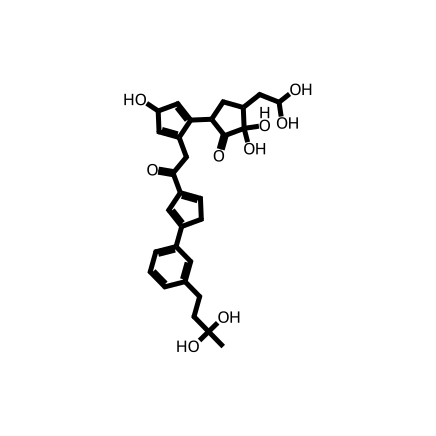 CC(O)(O)CCc1cccc(C2=CC(C(=O)CC3=CC(O)C=C3C3CC(CC(O)O)C(O)(O)C3=O)=CC2)c1